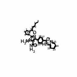 CC/C=C/C(=O)N1CCC[C@H]1c1nc(-c2ccc(C(=O)Nc3ccccn3)cc2)c(C(N)=O)n1N